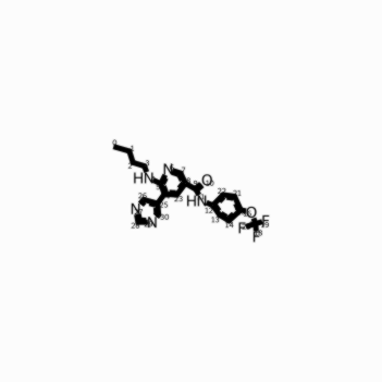 CCCCNc1ncc(C(=O)Nc2ccc(OC(F)(F)F)cc2)cc1-c1cncnc1